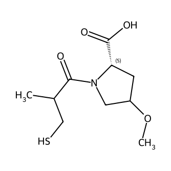 COC1C[C@@H](C(=O)O)N(C(=O)C(C)CS)C1